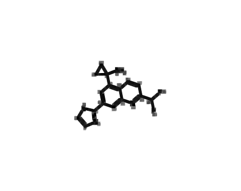 NC1(c2cc(-c3nccs3)cc3nc(C(F)F)ccc23)CC1